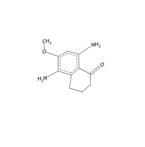 COc1cc(N)c2c(c1N)CCCC2=O